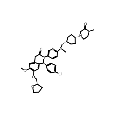 COc1cc2c(cc1OC[C@H]1CCCO1)[C@H](c1ccc(Cl)cc1)N(c1ccc(N(C)C[C@H]3CC[C@@H](N4CCN(C)C(=O)C4)CC3)nc1)C(=O)C2